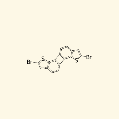 Brc1cc2ccc3c(c2s1)-c1ccc2cc(Br)sc2c1-3